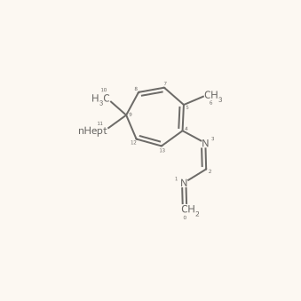 C=N/C=N\C1=C(C)C=CC(C)(CCCCCCC)C=C1